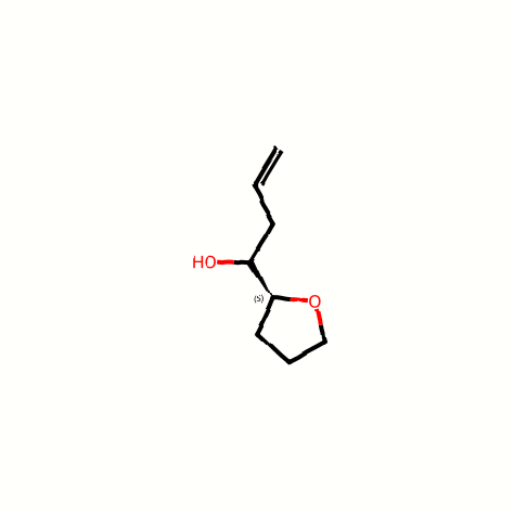 C=CCC(O)[C@@H]1CCCO1